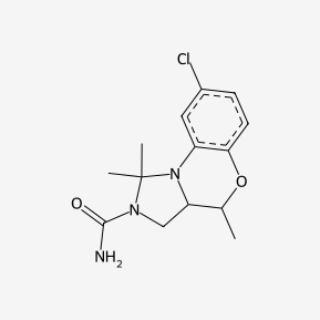 CC1Oc2ccc(Cl)cc2N2C1CN(C(N)=O)C2(C)C